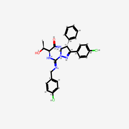 C[C@H](O)[C@H](N/C(=N\Cc1ccc(Cl)cc1)N1C[C@H](c2ccccc2)C(c2ccc(Cl)cc2)=N1)C(N)=O